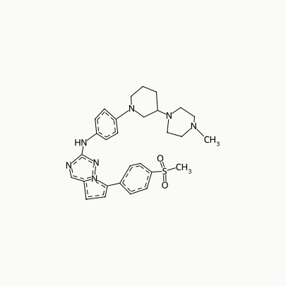 CN1CCN(C2CCCN(c3ccc(Nc4ncc5ccc(-c6ccc(S(C)(=O)=O)cc6)n5n4)cc3)C2)CC1